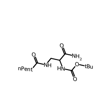 CCCCCC(=O)NCC(NC(=O)OC(C)(C)C)C(N)=O